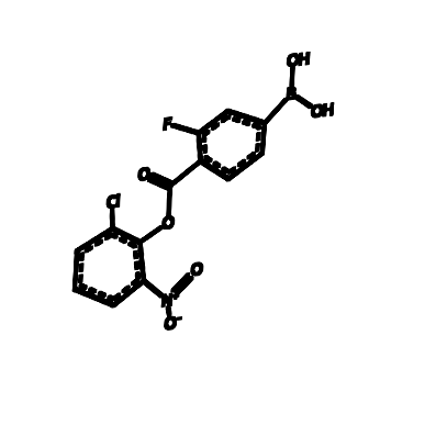 O=C(Oc1c(Cl)cccc1[N+](=O)[O-])c1ccc(B(O)O)cc1F